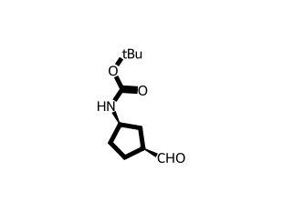 CC(C)(C)OC(=O)N[C@@H]1CC[C@H](C=O)C1